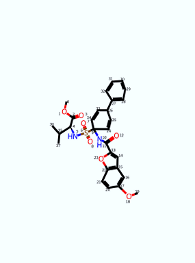 COC(=O)[C@@H](NS(=O)(=O)C1(NC(=O)c2cc3cc(OC)ccc3o2)C=CC(c2ccccc2)C=C1)C(C)C